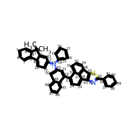 CC1(C)c2ccccc2-c2ccc(N(c3ccccc3)c3cc(-c4ccc5c6c(cccc46)-c4sc(-c6ccccc6)nc4-5)c4ccccc4c3)cc21